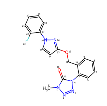 Cn1nnn(-c2ccccc2COc2ccn(-c3ccccc3F)n2)c1=O